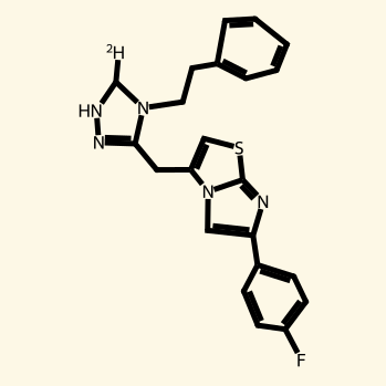 [2H]C1NN=C(Cc2csc3nc(-c4ccc(F)cc4)cn23)N1CCc1ccccc1